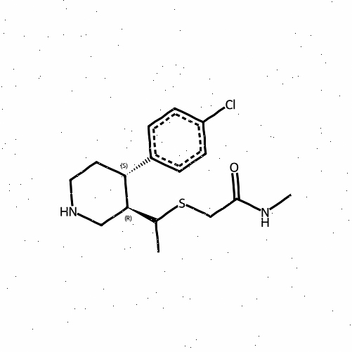 CNC(=O)CSC(C)[C@H]1CNCC[C@@H]1c1ccc(Cl)cc1